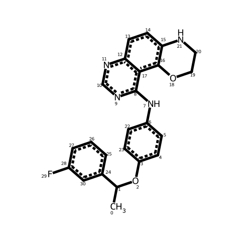 CC(Oc1ccc(Nc2ncnc3ccc4c(c23)OCCN4)cc1)c1cccc(F)c1